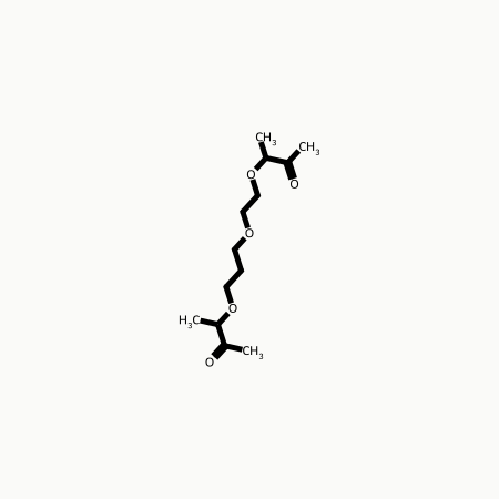 CC(=O)C(C)OCCCOCCOC(C)C(C)=O